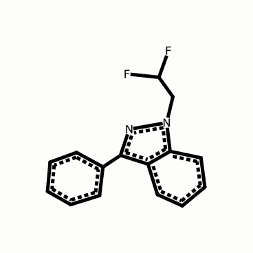 FC(F)Cn1nc(-c2ccccc2)c2ccccc21